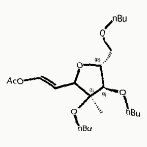 CCCCOC[C@H]1OC(C=COC(C)=O)[C@](C)(OCCCC)[C@@H]1OCCCC